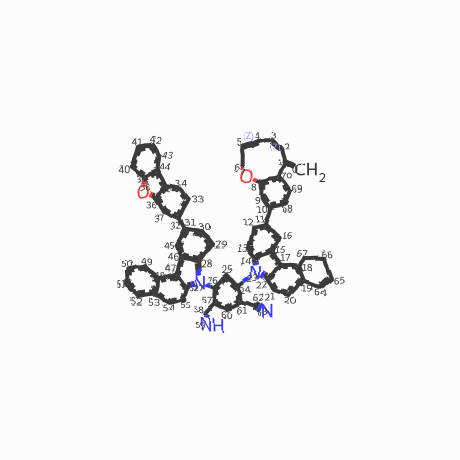 C=C1/C=C\C=C/COc2cc(-c3ccc4c(c3)c3c5c(ccc3n4-c3cc(-n4c6ccc(-c7ccc8c(c7)oc7ccccc78)cc6c6c7ccccc7ccc64)c(C=N)cc3C#N)C=CCC5)ccc21